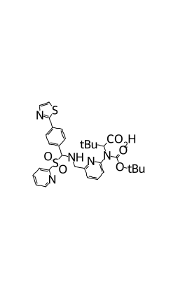 CC(C)(C)OC(=O)N(c1cccc(CNC(c2ccc(-c3nccs3)cc2)S(=O)(=O)c2ccccn2)n1)C(C(=O)O)C(C)(C)C